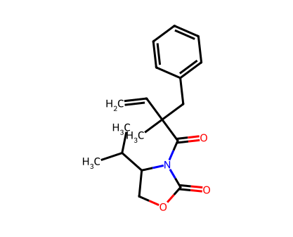 C=CC(C)(Cc1ccccc1)C(=O)N1C(=O)OCC1C(C)C